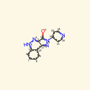 O=c1c2n[nH]c3ccccc3c-2nn1-c1ccncc1